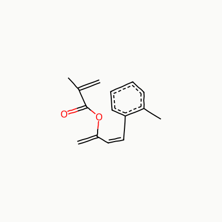 C=C(/C=C\c1ccccc1C)OC(=O)C(=C)C